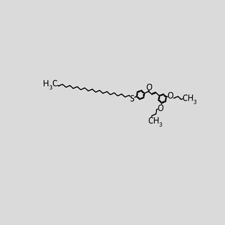 CCCCCCCCCCCCCCCCCCCCCSc1ccc(C(=O)C=Cc2cc(OCCCC)cc(OCCCC)c2)cc1